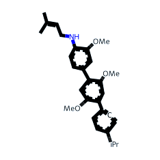 COc1cc(-c2cc(OC)c(-c3ccc(C(C)C)cc3)cc2OC)ccc1NCC=C(C)C